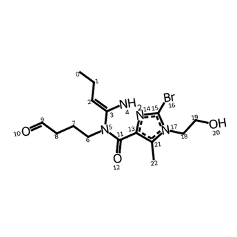 CC/C=C(\N)N(CCCC=O)C(=O)c1nc(Br)n(CCO)c1C